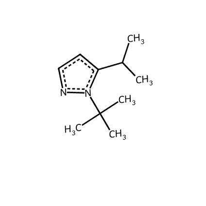 CC(C)c1ccnn1C(C)(C)C